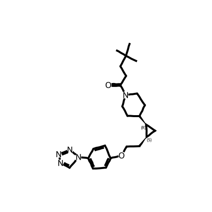 CC(C)(C)CCC(=O)N1CCC([C@H]2C[C@H]2CCOc2ccc(-n3cnnn3)cc2)CC1